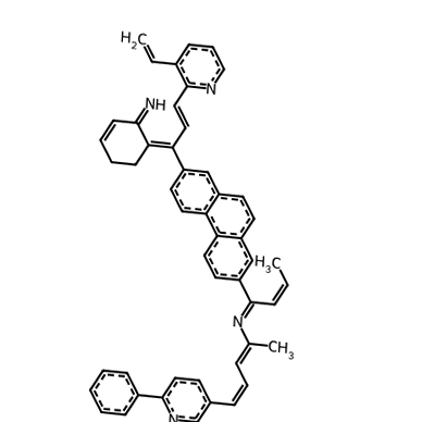 C=Cc1cccnc1/C=C/C(=C1/CCC=CC1=N)c1ccc2c(ccc3cc(C(/C=C\C)=N/C(C)=C/C=C\c4ccc(-c5ccccc5)nc4)ccc32)c1